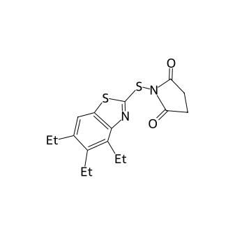 CCc1cc2sc(SN3C(=O)CCC3=O)nc2c(CC)c1CC